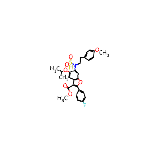 COC(=O)c1c(-c2ccc(F)cc2)oc2cc(N(CCc3ccc(OC)cc3)[SH](=O)=O)c(OC(C)C)cc12